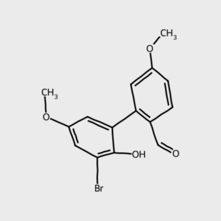 COc1ccc(C=O)c(-c2cc(OC)cc(Br)c2O)c1